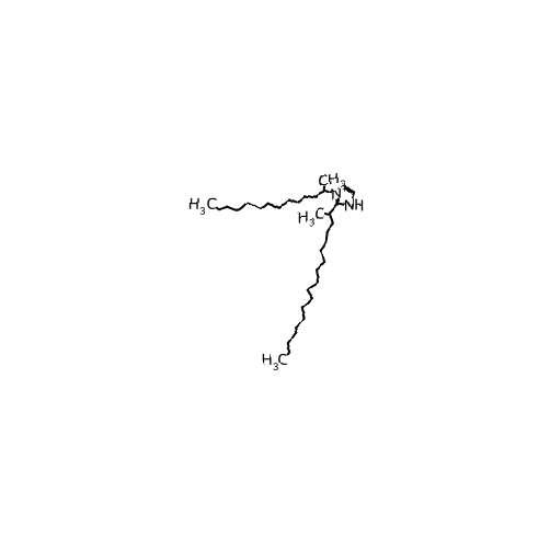 CCCCCCCCCCCCCCCCC(C)c1[nH]cc[n+]1C(C)CCCCCCCCCCCC